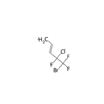 [CH2]C=CC(F)(Cl)C(F)(F)Br